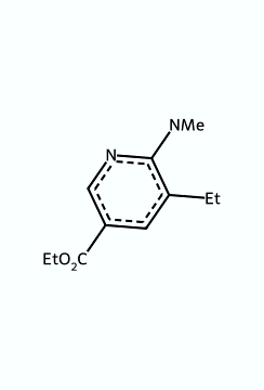 CCOC(=O)c1cnc(NC)c(CC)c1